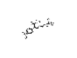 O=C(O)C(CCCCO[N+](=O)[O-])c1ccc([N+](=O)[O-])cc1